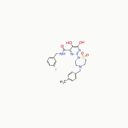 Cc1ccc(CN2CCN(c3nc(O)c(O)c(C(=O)NCc4cccc(F)c4)n3)S(=O)(=O)CC2)cc1